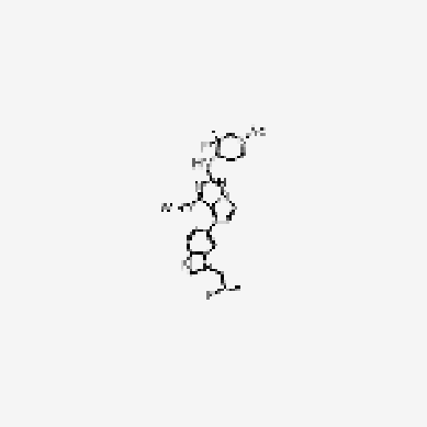 COc1nc(N[C@@H]2CCN(C(C)=O)CC2(F)F)nn2ccc(-c3ccc4ncn(CC(F)F)c4c3)c12